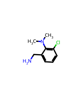 CN(C)c1c(Cl)cccc1CN